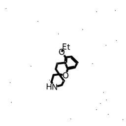 CCOc1cccc2c1CCC1(CCNCC1)O2